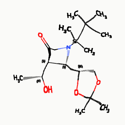 C[C@@H](O)[C@H]1C(=O)N([Si](C)(C)C(C)(C)C)[C@@H]1[C@@H]1COC(C)(C)O1